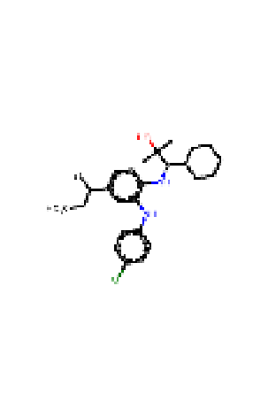 CCC(CC(=O)O)c1ccc(N[C@H](C2CCCCC2)C(C)(C)O)c(Nc2ccc(Cl)cc2)c1